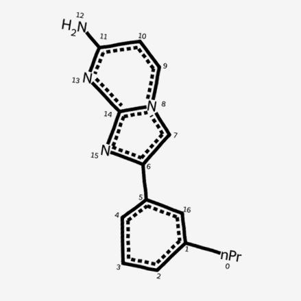 CCCc1cccc(-c2cn3ccc(N)nc3n2)c1